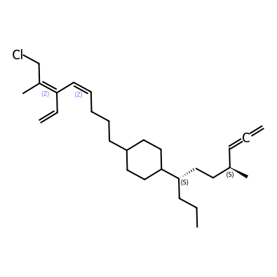 C=C=C[C@@H](C)CC[C@H](CCC)C1CCC(CCC/C=C\C(C=C)=C(\C)CCl)CC1